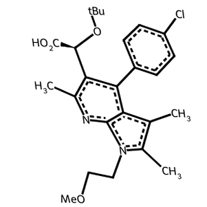 COCCn1c(C)c(C)c2c(-c3ccc(Cl)cc3)c([C@H](OC(C)(C)C)C(=O)O)c(C)nc21